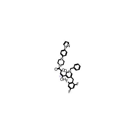 O=C(/C=C(/O)c1cc(Cc2c(F)cc(F)cc2F)cn(Cc2ccccc2)c1=O)C(=O)N1CCN(c2ccc(-n3cccn3)cc2)CC1